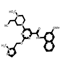 COc1cc(NC(=O)c2cc(N3CCN(C(=O)O)C(CC#N)C3)nc(OCc3ccnn3C)n2)c2ccccc2c1